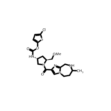 COC[C@@H]1C[C@@H](NC(=O)Oc2ccc(Cl)s2)CN1C(=O)c1cn2c(n1)CNC(C)CC2